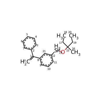 C=C(c1ccccc1)c1cccc([SiH2]OC(C)(CC)CC)c1